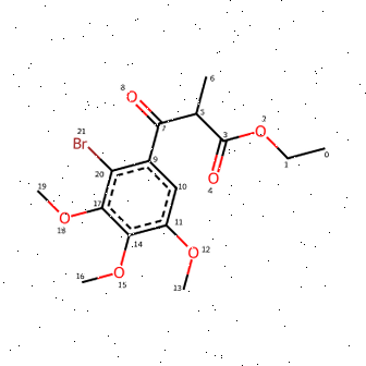 CCOC(=O)C(C)C(=O)c1cc(OC)c(OC)c(OC)c1Br